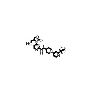 C[C@H](Nc1nccc(N2C(=O)OCC2[C@@H](C)O)n1)C1CCN(c2ccnc(C(C)(C)C(F)(F)F)c2)CC1